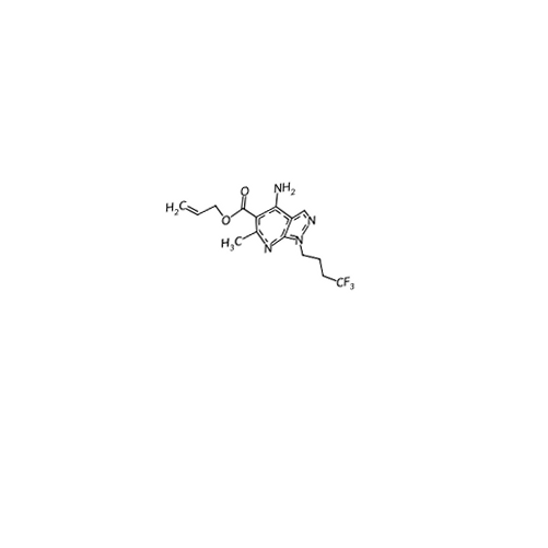 C=CCOC(=O)c1c(C)nc2c(cnn2CCCC(F)(F)F)c1N